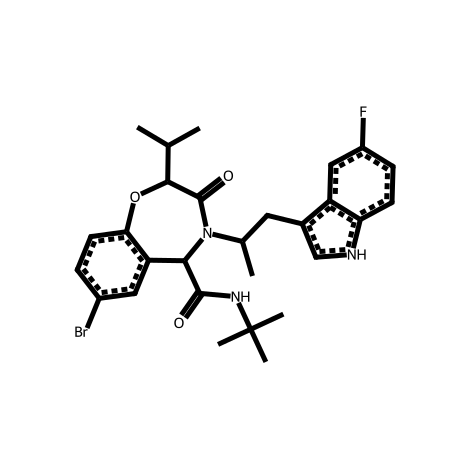 CC(C)C1Oc2ccc(Br)cc2C(C(=O)NC(C)(C)C)N(C(C)Cc2c[nH]c3ccc(F)cc23)C1=O